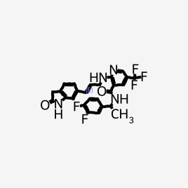 CC(NC(=O)c1cc(C(F)(F)F)cnc1NC/C=C/c1ccc2c(c1)NC(=O)C2)c1ccc(F)c(F)c1